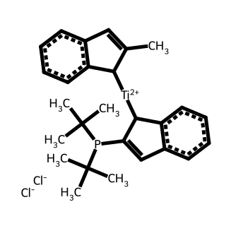 CC1=Cc2ccccc2[CH]1[Ti+2][CH]1C(P(C(C)(C)C)C(C)(C)C)=Cc2ccccc21.[Cl-].[Cl-]